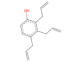 C=CCc1[c]cc(O)c(CC=C)c1CC=C